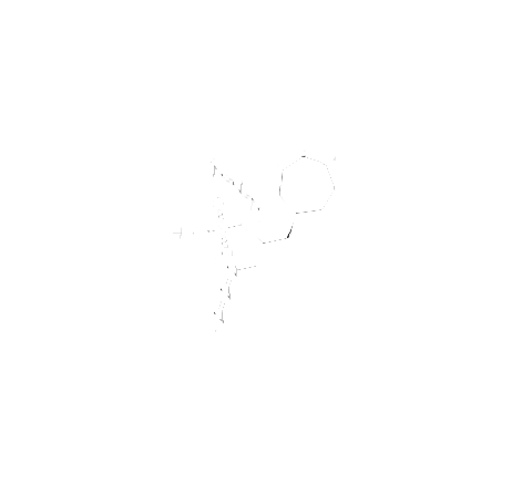 CS(=O)(=O)O[C@@H](CN=[N+]=[N-])C[C@@H]1CCCCC[C@H]1N=[N+]=[N-]